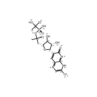 CCC(C)(C[C@H]1O[C@@H](c2cc3ncc(C(F)(F)F)[nH]c-3nc2=O)[C@@H](O)C1O)OP(=O)(O)C(C)(O)CC